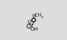 COc1ccc(CN2C(=O)CCCC2O)cc1